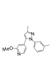 COc1cc(-c2cc(C)nn2-c2cccc(C)c2)ccn1